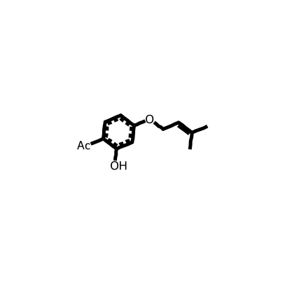 CC(=O)c1ccc(OCC=C(C)C)cc1O